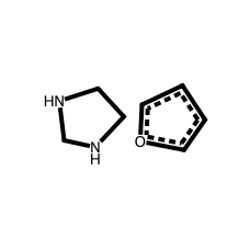 C1CNCN1.c1ccoc1